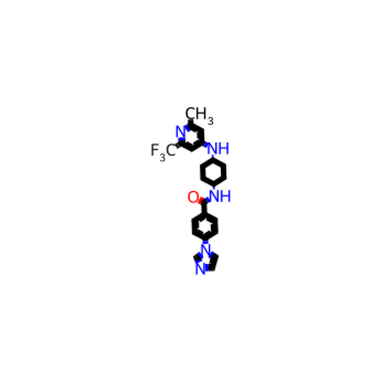 Cc1cc(N[C@H]2CC[C@@H](NC(=O)c3ccc(-n4ccnc4)cc3)CC2)cc(C(F)(F)F)n1